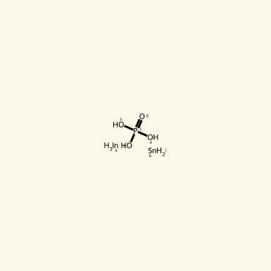 O=P(O)(O)O.[InH3].[SnH2]